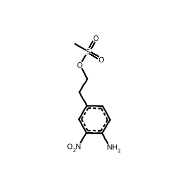 CS(=O)(=O)OCCc1ccc(N)c([N+](=O)[O-])c1